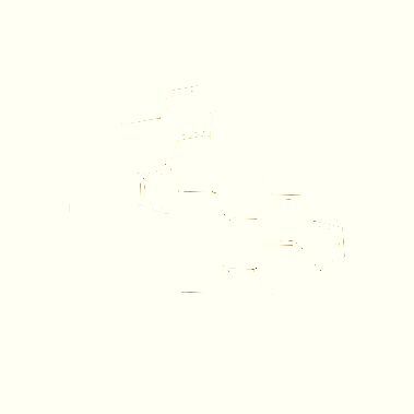 CCCNC(=O)c1c(NC(=O)c2cc(OC)nn2-c2ncccc2Cl)c(Br)cc2ccnn12